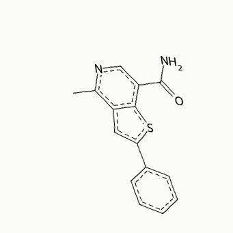 Cc1ncc(C(N)=O)c2sc(-c3ccccc3)cc12